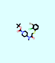 CN(C(=O)CSc1cccc(Br)c1Cl)C1CCN(C(=O)OC(C)(C)C)CC1